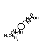 CC(C)(C)OC(=O)NC1CCCC(Cc2nc(C(=O)O)cs2)CCC1